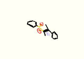 C/C(=C(/C)S(=O)(=O)c1ccccc1)c1ccccc1